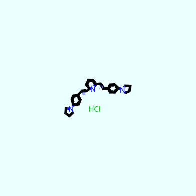 C(=C\c1cccc(/C=C/c2ccc(N3CCCC3)cc2)n1)/c1ccc(N2CCCC2)cc1.Cl